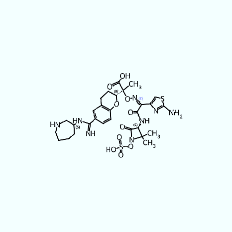 CC(O/N=C(\C(=O)N[C@@H]1C(=O)N(OS(=O)(=O)O)C1(C)C)c1csc(N)n1)(C(=O)O)[C@H]1CCc2cc(C(=N)N[C@H]3CCCCNC3)ccc2O1